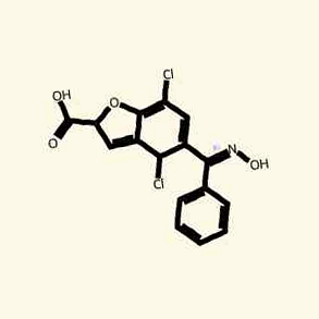 O=C(O)C1C=C2C(=C(Cl)C=C(/C(=N/O)c3ccccc3)C2Cl)O1